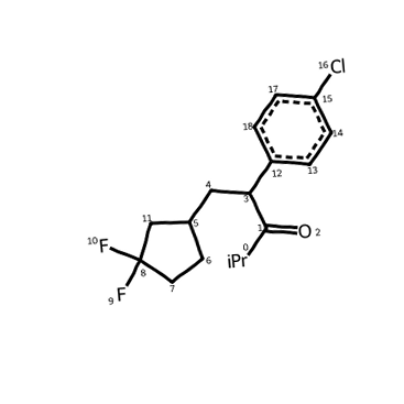 CC(C)C(=O)C(CC1CCC(F)(F)C1)c1ccc(Cl)cc1